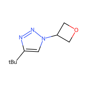 CC(C)(C)c1cn(C2COC2)nn1